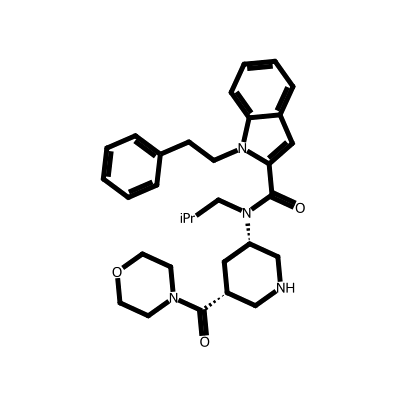 CC(C)CN(C(=O)c1cc2ccccc2n1CCc1ccccc1)[C@@H]1CNC[C@H](C(=O)N2CCOCC2)C1